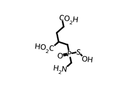 NCP(=O)(CC(CCC(=O)O)C(=O)O)SO